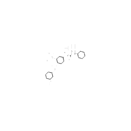 COC(=O)c1cc(NC(=O)Nc2ccccc2)ccc1OCc1cccc(Cl)c1